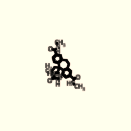 CNC(=O)c1ccc2c(c1)CCc1cc(C(=O)NC)ccc1C2(C[C@@H](C)N)c1n[nH]c(=O)[nH]1